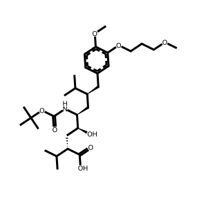 COCCCOc1cc(C[C@@H](C[C@H](NC(=O)OC(C)(C)C)[C@@H](O)C[C@H](C(=O)O)C(C)C)C(C)C)ccc1OC